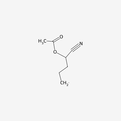 [CH2]CCC(C#N)OC(C)=O